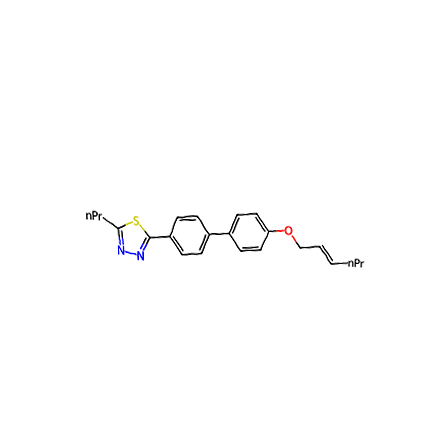 CCCC=CCOc1ccc(-c2ccc(-c3nnc(CCC)s3)cc2)cc1